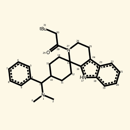 CN(C)C(c1ccccc1)C1CCC2(CC1)c1[nH]c3ccccc3c1CCN2C(=O)CC(C)(C)C